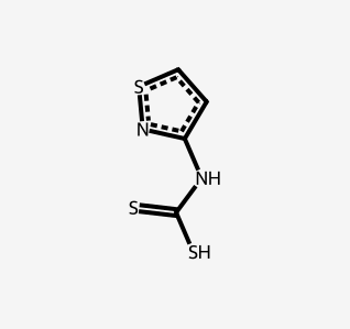 S=C(S)Nc1ccsn1